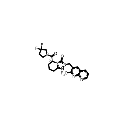 O=C([C@@H]1CCCc2nn(Cc3cc4cccnc4nc3C(F)(F)F)c(=O)n21)N1CCC(F)(F)C1